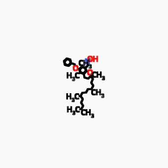 Cc1c(/C=N/O)c2c(c(C)c1OCc1ccccc1)CCC(C)(CCCC(C)CCCC(C)CCCC(C)C)O2